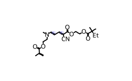 C=C(C)C(=O)OCCN(C)/C=C/C=C(\C#N)C(=O)OCCOC(=O)C(C)(C)CC